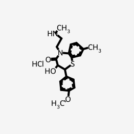 CNCCN1C(=O)C(O)C(c2ccc(OC)cc2)Sc2cc(C)ccc21.Cl